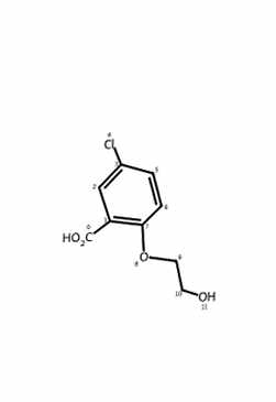 O=C(O)c1cc(Cl)ccc1OCCO